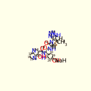 CC1(C)S[C@H]2C(NC(=O)C(NC(=O)c3cnc4cccnc4c3O)c3ccc(O)cc3)C(=O)N2C1c1nnn[nH]1.[NaH]